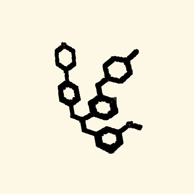 COc1cccc(CN(Cc2ccc(N3CCOCC3)cc2)c2ccnc(CN3CCN(C)CC3)c2)c1